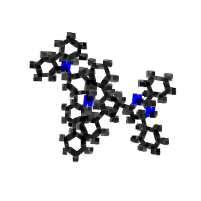 c1ccc(-c2ccc3c4cc(-n5c6ccccc6c6ccccc65)ccc4n(-c4c(-c5ccccc5)cc(-c5cc(-c6ccccc6)nc(-c6ccccc6)n5)cc4-c4ccccc4)c3c2)cc1